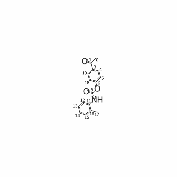 CC(=O)c1ccc(OC(=O)Nc2ccccc2C)cc1